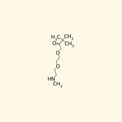 CNCCOCCOCC(=O)C(C)(C)C